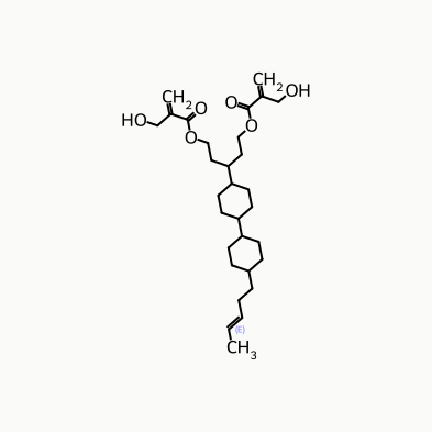 C=C(CO)C(=O)OCCC(CCOC(=O)C(=C)CO)C1CCC(C2CCC(CC/C=C/C)CC2)CC1